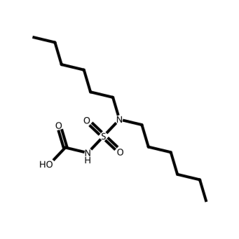 CCCCCCN(CCCCCC)S(=O)(=O)NC(=O)O